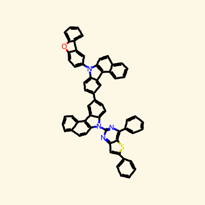 c1ccc(-c2cc3nc(-n4c5ccc(-c6ccc7c(c6)c6c8ccccc8ccc6n7-c6ccc7oc8ccccc8c7c6)cc5c5c6ccccc6ccc54)nc(-c4ccccc4)c3s2)cc1